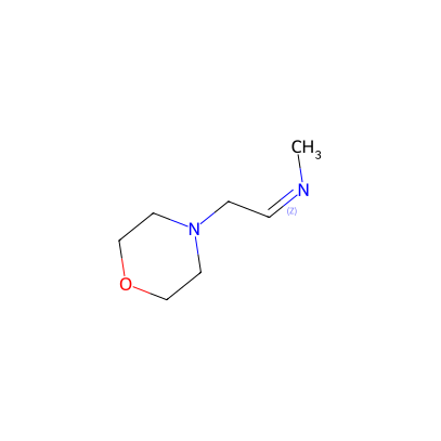 C/N=C\CN1CCOCC1